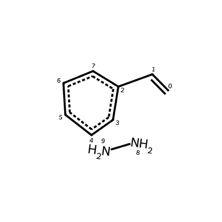 C=Cc1ccccc1.NN